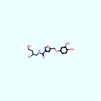 CCC(CCO)CNC(=O)c1cc(COc2ccc(O)c(O)c2)on1